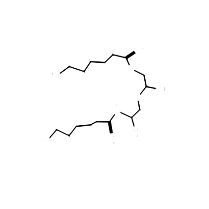 CC(COC(=O)CCCCCC(C)(C)C)OCC(C)OC(=O)CCCCCC(C)(C)C